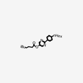 CCCCCCc1ccc(-c2ncc(OC(=O)CCCC(C)CC)cn2)cc1